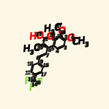 COc1ccc(C(/C=C/c2ccc(C(F)(F)F)cc2)=C(/C)C(=O)O)cc1OC